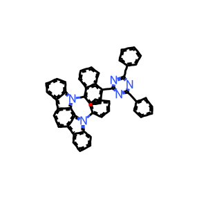 c1ccc(-c2nc(-c3ccccc3)nc(-c3ccc(-n4c5ccccc5c5ccc6c7ccccc7n(-c7ccccc7)c6c54)c4ccccc34)n2)cc1